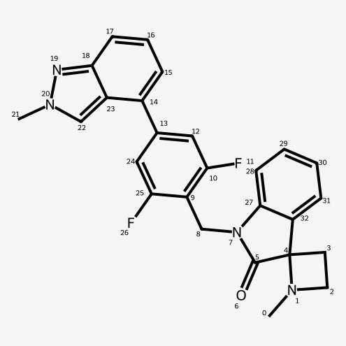 CN1CCC12C(=O)N(Cc1c(F)cc(-c3cccc4nn(C)cc34)cc1F)c1ccccc12